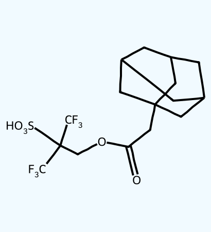 O=C(CC12CC3CC(CC(C3)C1)C2)OCC(C(F)(F)F)(C(F)(F)F)S(=O)(=O)O